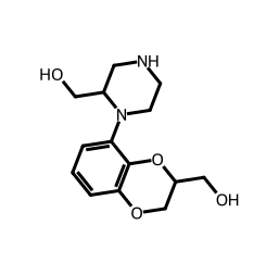 OCC1COc2cccc(N3CCNCC3CO)c2O1